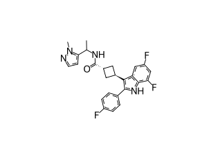 CC(NC(=O)[C@H]1C[C@H](c2c(-c3ccc(F)cc3)[nH]c3c(F)cc(F)cc32)C1)c1ccnn1C